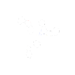 c1cc2c3c(c1)-c1c(sc4ccccc14)CC3c1cc3c(oc4ccccc43)c3c1B2n1c2sc4ccccc4c2c2cccc-3c21